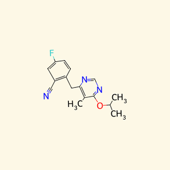 Cc1c(Cc2ccc(F)cc2C#N)ncnc1OC(C)C